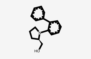 OC[C@H]1CCCN1c1ccccc1-c1ccccc1